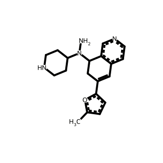 Cc1ccc(C2=Cc3ccncc3C(N(N)C3CCNCC3)C2)o1